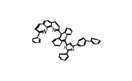 c1ccc(-c2ccc(-c3cc(-c4c5ccccc5c(-c5ccc6ccc7ccc(-c8ccccc8)nc7c6n5)c5ccccc45)nc(-c4ccccc4)n3)cc2)cc1